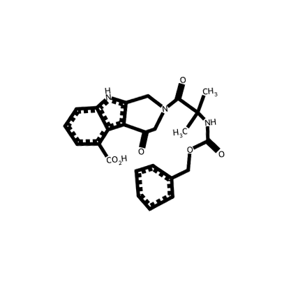 CC(C)(NC(=O)OCc1ccccc1)C(=O)N1CC(=O)c2c([nH]c3cccc(C(=O)O)c23)C1